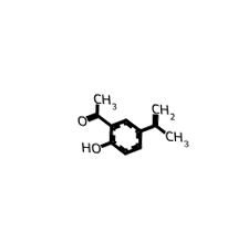 C=C(C)c1ccc(O)c(C(C)=O)c1